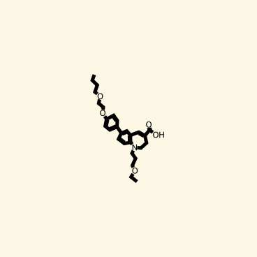 CCCCOCCOc1ccc(-c2ccc3c(c2)C=C(C(=O)O)CCN3CCCOCC)cc1